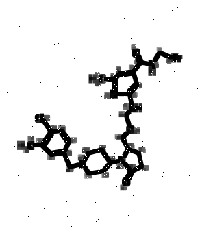 Cc1cc(C(=O)NCC(C)C)cc(NCOC[C@H]2CCC(=O)N2C2CCN(Cc3ccc(Cl)c(C)c3)CC2)n1